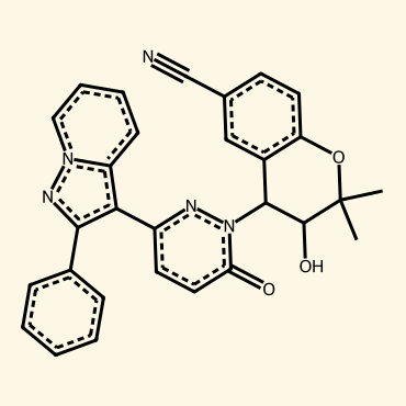 CC1(C)Oc2ccc(C#N)cc2C(n2nc(-c3c(-c4ccccc4)nn4ccccc34)ccc2=O)C1O